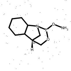 NOP1OC[C@H]2CN1C1CCCCC12